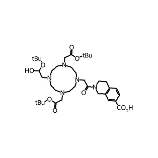 CC(C)(C)OC(=O)CN1CCN(CC(=O)N2CCc3ccc(C(=O)O)cc3C2)CCN(CC(=O)OC(C)(C)C)CCN(CC(O)OC(C)(C)C)CC1